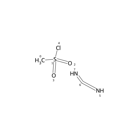 CS(=O)(=O)Cl.N=C=N